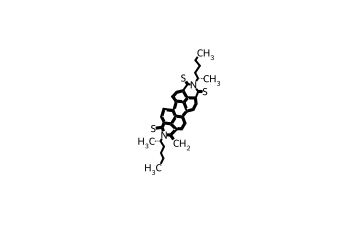 C=c1c2ccc3c4ccc5c6c(ccc(c7ccc(c(=S)n1[C@@H](C)CCCC)c2c37)c64)C(=S)N([C@@H](C)CCCC)C5=S